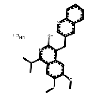 COc1cc2c(C(C)C)nc(O)c(Cc3cnc4ccccc4c3)c2cc1OC.Cl.Cl